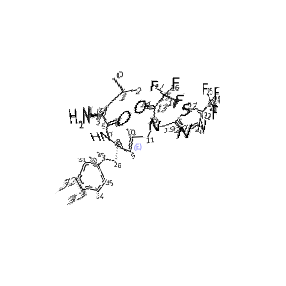 CC(C)[C@H](N)C(=O)N[C@H](/C=C/CN(C(=O)C(F)(F)F)c1nnc(C(F)(F)F)s1)CCc1ccccc1